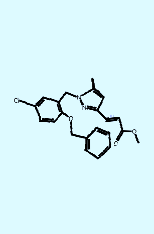 COC(=O)/C=C/c1cc(C)n(Cc2cc(Cl)ccc2OCc2ccccc2)n1